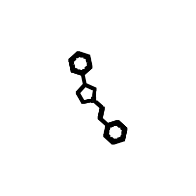 C(=CN1CCC(c2ccccc2)C1)c1ccccc1